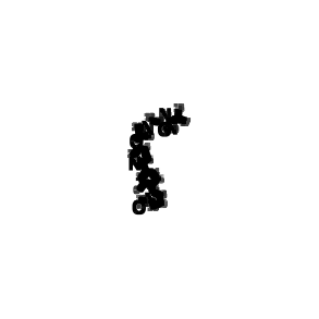 Cc1cc(-c2ccc(OC3CN(Cc4nc(C(C)C)no4)C3)cn2)ccc1C1CCCN1C=O